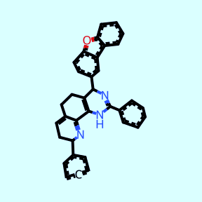 C1=C2CCC3=C(NC(c4ccccc4)=NC3c3ccc4oc5ccccc5c4c3)C2=NC(c2ccccc2)C1